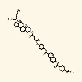 CCCCCC1CCC(C(=O)Oc2ccc3cc(C(=O)Oc4ccc(OC(=O)CCC(=O)O[C@H]5CC[C@@]6(C)C(=CCC7C6CC[C@@]6(C)C7CC[C@@H]6C(C)CCCC(C)C)C5)cc4)ccc3c2)CC1